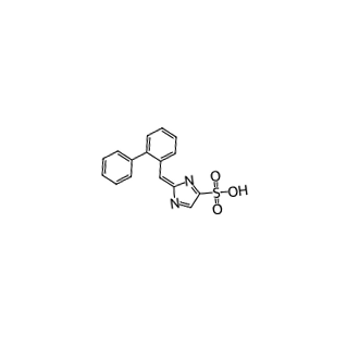 O=S(=O)(O)C1=N/C(=C\c2ccccc2-c2ccccc2)N=C1